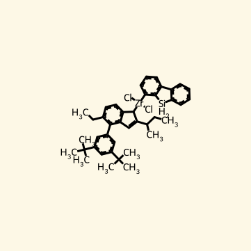 CCc1ccc2c(c1-c1cc(C(C)(C)C)cc(C(C)(C)C)c1)C=C(C(C)CC)[CH]2[Zr]([Cl])([Cl])[c]1cccc2c1[SiH2]c1ccccc1-2